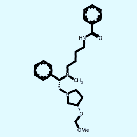 COCO[C@H]1CCN(C[C@H](c2ccccc2)N(C)CCCCNC(=O)c2ccccc2)C1